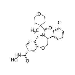 CC1(C(=O)N2Cc3ccc(C(=O)NO)cc3OC[C@@H]2c2cccc(Cl)c2)CCOCC1